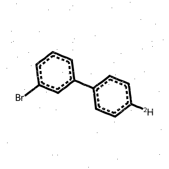 [2H]c1ccc(-c2cccc(Br)c2)cc1